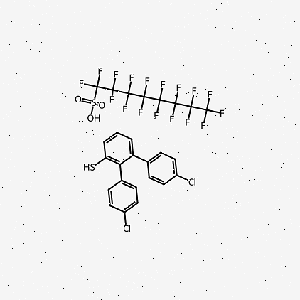 O=S(=O)(O)C(F)(F)C(F)(F)C(F)(F)C(F)(F)C(F)(F)C(F)(F)C(F)(F)C(F)(F)F.Sc1cccc(-c2ccc(Cl)cc2)c1-c1ccc(Cl)cc1